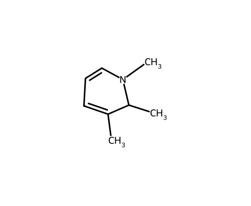 CC1=CC=CN(C)C1C